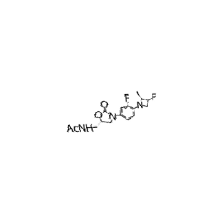 CC(=O)NC[C@H]1CN(c2ccc(N3CC(F)[C@@H]3C)c(F)c2)C(=O)O1